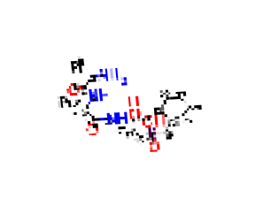 CC(C)C[C@H](NC(=O)[C@@H](N)C(C)C)C(=O)NC[C@H](O)CP(=O)(O)CC1CCCCC1